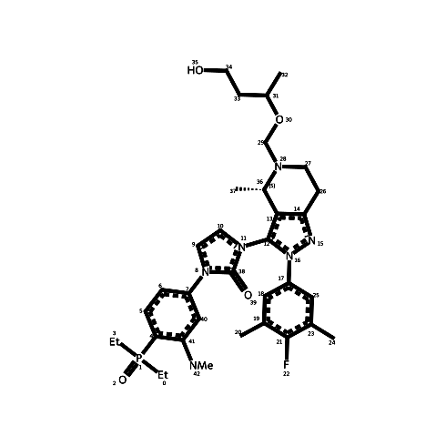 CCP(=O)(CC)c1ccc(-n2ccn(-c3c4c(nn3-c3cc(C)c(F)c(C)c3)CCN(COC(C)CCO)[C@H]4C)c2=O)cc1NC